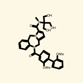 COc1ccccc1-c1ccc(C(=O)N2Cc3ccc(C(=O)N(C)C(CO)(CO)CO)n3Cc3ccccc32)cc1OC